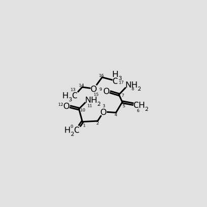 C=C(COCC(=C)C(N)=O)C(N)=O.CCOCC